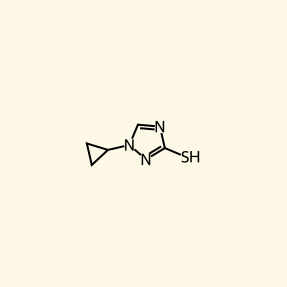 Sc1ncn(C2CC2)n1